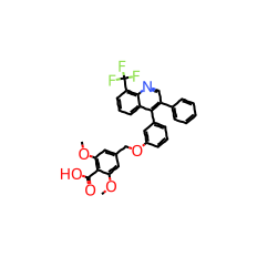 COc1cc(COc2cccc(-c3c(-c4ccccc4)cnc4c(C(F)(F)F)cccc34)c2)cc(OC)c1C(=O)O